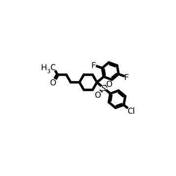 CC(=O)CCC1CCC(c2cc(F)ccc2F)(S(=O)(=O)c2ccc(Cl)cc2)CC1